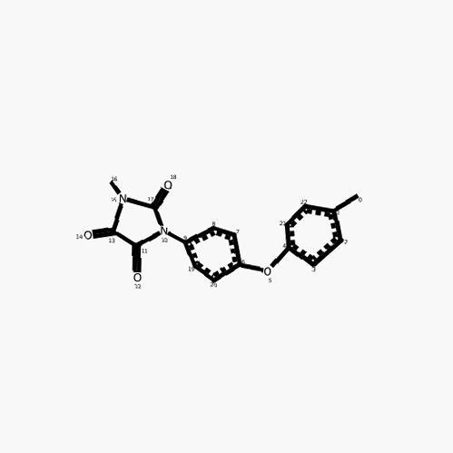 Cc1ccc(Oc2ccc(N3C(=O)C(=O)N(C)C3=O)cc2)cc1